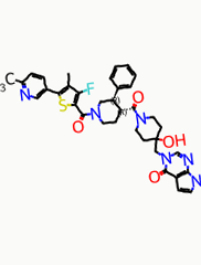 Cc1c(-c2ccc(C(F)(F)F)nc2)sc(C(=O)N2CC[C@@H](C(=O)N3CCC(O)(Cn4cnc5c(ccn5C)c4=O)CC3)[C@H](c3ccccc3)C2)c1F